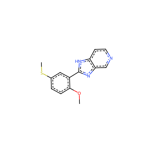 COc1ccc(SC)cc1-c1nc2cnccc2[nH]1